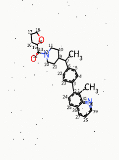 Cc1c(-c2ccc(C(C)C3CCN(C(=O)C4CCCO4)CC3)cc2)ccc2cccnc12